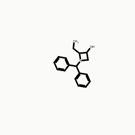 CCC1C(O)CN1C(c1ccccc1)c1ccccc1